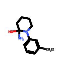 CCOC(=O)c1cccc(N2CCCCC2(N)O)c1